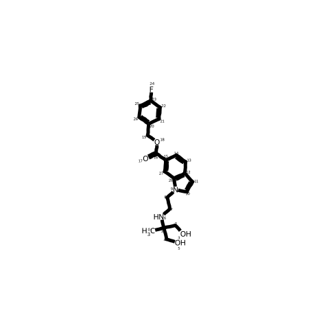 CC(CO)(CO)NCCn1ccc2ccc(C(=O)OCc3ccc(F)cc3)cc21